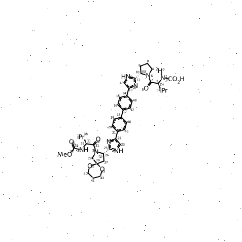 [2H]N(C(=O)O)[C@H](C(=O)N1CCC[C@H]1c1nc(-c2ccc(-c3ccc(-c4c[nH]c([C@@H]5CC6(CN5C(=O)[C@@H](NC(=O)OC)C(C)C)OCCCO6)n4)cc3)cc2)c[nH]1)C(C)C